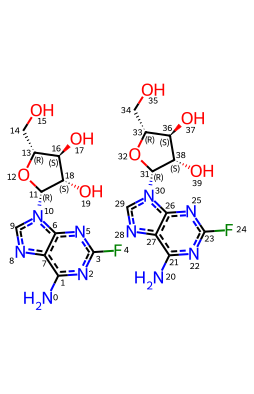 Nc1nc(F)nc2c1ncn2[C@@H]1O[C@H](CO)[C@@H](O)[C@@H]1O.Nc1nc(F)nc2c1ncn2[C@@H]1O[C@H](CO)[C@@H](O)[C@@H]1O